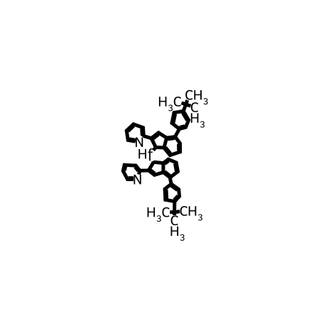 CC(C)(C)c1ccc(-c2cccc3c2C=C(c2ccccn2)[CH]3[Hf][CH]2C(c3ccccn3)=Cc3c(-c4ccc(C(C)(C)C)cc4)cccc32)cc1